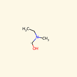 CCN(C)[CH]O